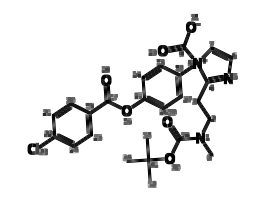 CN(CCC1=NC=C[N+]1(C(=O)[O-])c1ccc(OC(=O)c2ccc(Cl)cc2)cc1)C(=O)OC(C)(C)C